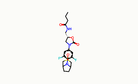 CCCC(=O)NC[C@H]1CN(c2cc(F)c(N3C4CCC3C[S+]([O-])C4)c(F)c2)C(=O)O1